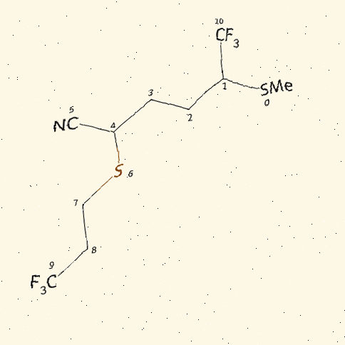 CSC(CCC(C#N)SCCC(F)(F)F)C(F)(F)F